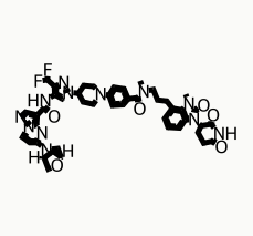 CN(CCCc1cccc2c1n(C)c(=O)n2C1CCC(=O)NC1=O)C(=O)c1ccc(N2CCC(n3cc(NC(=O)c4cnn5ccc(N6C[C@H]7C[C@@H]6CO7)nc45)c(C(F)F)n3)CC2)cc1